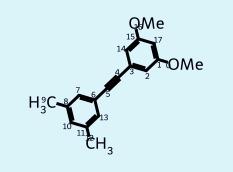 COc1cc(C#Cc2cc(C)cc(C)c2)cc(OC)c1